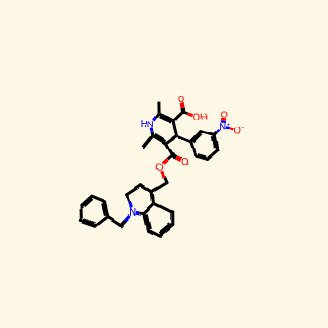 CC1=C(C(=O)O)C(c2cccc([N+](=O)[O-])c2)C(C(=O)OCC2CCN(Cc3ccccc3)C3=CC=CCC32)=C(C)N1